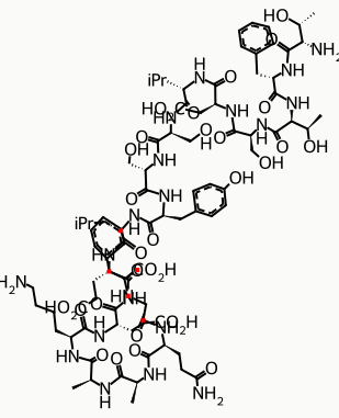 CC(C)C[C@H](NC(=O)[C@H](Cc1ccc(O)cc1)NC(=O)[C@H](CO)NC(=O)[C@H](CO)NC(=O)[C@@H](NC(=O)[C@H](CC(=O)O)NC(=O)[C@H](CO)NC(=O)[C@@H](NC(=O)[C@H](Cc1ccccc1)NC(=O)[C@@H](N)[C@@H](C)O)[C@@H](C)O)C(C)C)C(=O)N[C@@H](CCC(=O)O)C(=O)NCC(=O)N[C@@H](CCC(N)=O)C(=O)N[C@@H](C)C(=O)N[C@@H](C)C(=O)N[C@@H](CCCCN)C(=O)N[C@@H](CCC(=O)O)C(=O)N[C@@H](Cc1ccccc1)C(=O)O